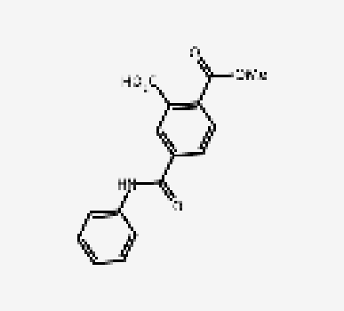 COC(=O)c1ccc(C(=O)Nc2ccccc2)cc1C(=O)O